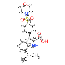 CC(C)c1cccc2c(-c3ccc(S(=O)(=O)N4CCOCC4)cc3)c(C(=O)O)[nH]c12